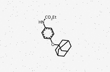 CCOC(=O)Nc1ccc(OC23CC4CC(CC(C4)C2)C3)cc1